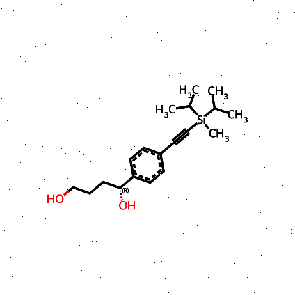 CC(C)[Si](C)(C#Cc1ccc([C@H](O)CCCO)cc1)C(C)C